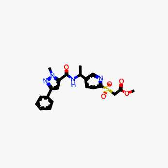 COC(=O)CS(=O)(=O)c1ccc(C(C)NC(=O)c2cc(-c3ccccc3)nn2C)cn1